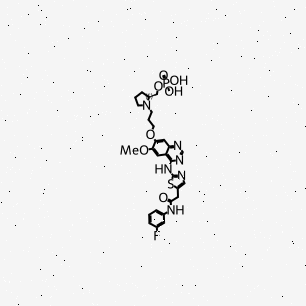 COc1cc2c(Nc3ncc(CC(=O)Nc4cccc(F)c4)s3)ncnc2cc1OCCCN1CCC[C@H]1COP(=O)(O)O